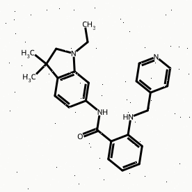 CCN1CC(C)(C)c2ccc(NC(=O)c3ccccc3NCc3ccncc3)cc21